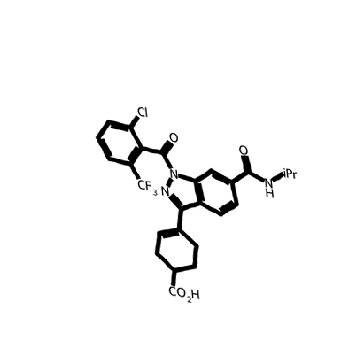 CC(C)NC(=O)c1ccc2c(C3=CCC(C(=O)O)CC3)nn(C(=O)c3c(Cl)cccc3C(F)(F)F)c2c1